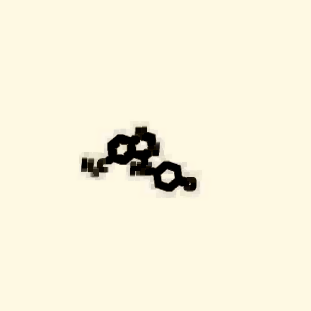 Cc1ccc2ncnc(NC3CCC(=O)CC3)c2c1